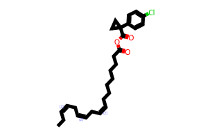 CC/C=C\C/C=C\C/C=C\CCCCCCCC(=O)OC(=O)C1(c2ccc(Cl)cc2)CC1